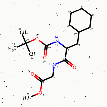 COC(=O)CNC(=O)C(CC1CCCCC1)NC(=O)OC(C)(C)C